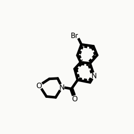 O=C(c1cnc2ccc(Br)cc2c1)N1CCOCC1